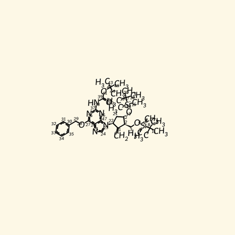 C=C1[C@H](CO[Si](C)(C)C(C)(C)C)[C@@H](O[Si](C)(C)C(C)(C)C)C[C@@H]1n1cnc2c(OCc3ccccc3)nc(NC(=O)OC(C)(C)C)nc21